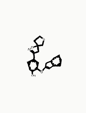 Oc1ccc(C2=NOC3(CCOC3)C2)cc1OC1=Cc2ccccc2C1